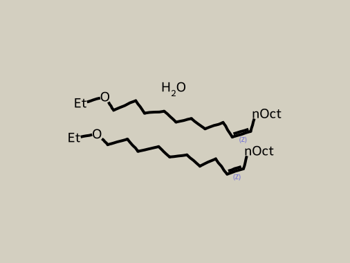 CCCCCCCC/C=C\CCCCCCCCOCC.CCCCCCCC/C=C\CCCCCCCCOCC.O